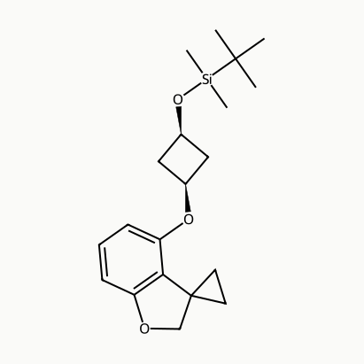 CC(C)(C)[Si](C)(C)O[C@H]1C[C@@H](Oc2cccc3c2C2(CC2)CO3)C1